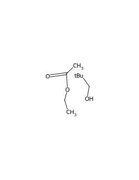 CC(C)(C)CO.CCOC(C)=O